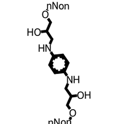 CCCCCCCCCOCC(O)CNc1ccc(NCC(O)COCCCCCCCCC)cc1